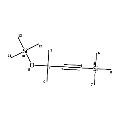 CC(C)(C#C[Si](C)(C)C)O[Si](C)(C)C